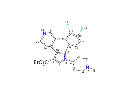 CCOC(=O)c1cn(C2CCN(C)CC2)c(-c2ccc(F)c(F)c2)c1-c1ccncc1